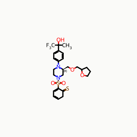 CC(O)(c1ccc(N2CCN(S(=O)(=O)C3=CC=CCC3=S)C[C@@H]2COCC2CCCO2)cc1)C(F)(F)F